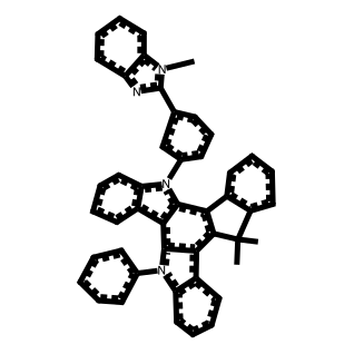 Cn1c(-c2cccc(-n3c4ccccc4c4c3c3c(c5c6ccccc6n(-c6ccccc6)c54)C(C)(C)c4ccccc4-3)c2)nc2ccccc21